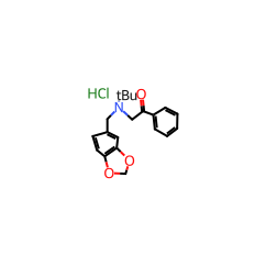 CC(C)(C)N(CC(=O)c1ccccc1)Cc1ccc2c(c1)OCO2.Cl